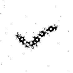 Cc1c(Oc2ccc(N(C)C(=O)c3ccc(C(F)(F)F)cc3)cn2)ccc2c1cc(C(=O)N1CCN(Cc3ccc4c(c3)OC(F)(F)O4)CC1)n2C